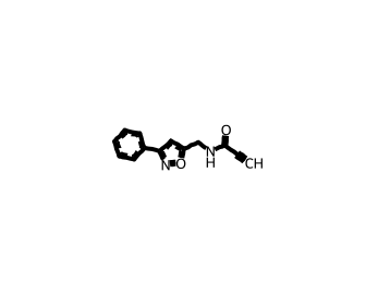 C#CC(=O)NCc1cc(-c2ccccc2)no1